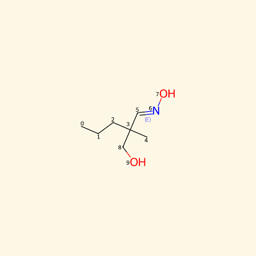 CCCC(C)(/C=N/O)CO